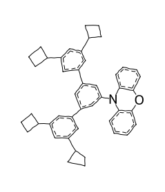 c1ccc2c(c1)Oc1ccccc1N2c1cc(-c2cc(C3CCC3)cc(C3CCC3)c2)cc(-c2cc(C3CCC3)cc(C3CCC3)c2)c1